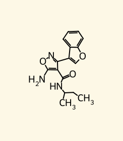 CCC(C)NC(=O)c1c(-c2coc3ccccc23)noc1N